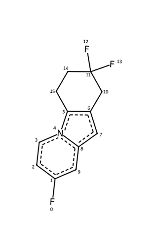 Fc1ccn2c3c(cc2c1)CC(F)(F)CC3